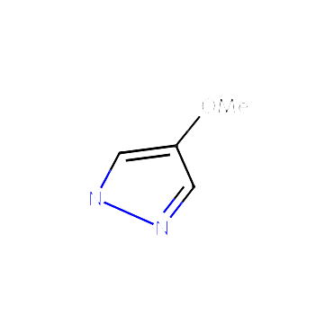 COC1=C[N]N=C1